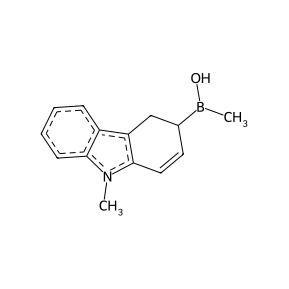 CB(O)C1C=Cc2c(c3ccccc3n2C)C1